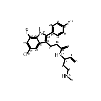 C=CC(CCNC)NC(=C)CCc1c(-c2ccc(F)cc2)[nH]c2c(F)cc(Cl)cc12